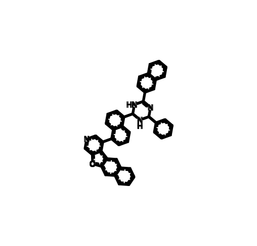 c1ccc(C2N=C(c3ccc4ccccc4c3)NC(c3cccc4c(-c5cncc6oc7cc8ccccc8cc7c56)cccc34)N2)cc1